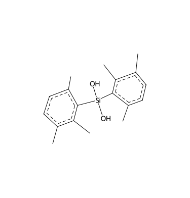 Cc1ccc(C)c([Si](O)(O)c2c(C)ccc(C)c2C)c1C